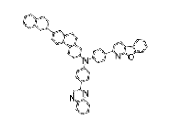 c1ccc2cc(-c3ccc4c(ccc5cc(N(c6ccc(-c7cnc8ccccc8n7)cc6)c6ccc(-c7ccc8c(n7)oc7ccccc78)cc6)ccc54)c3)ccc2c1